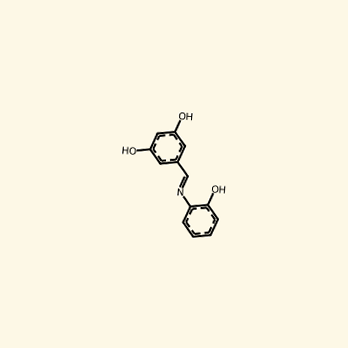 Oc1cc(O)cc(C=Nc2ccccc2O)c1